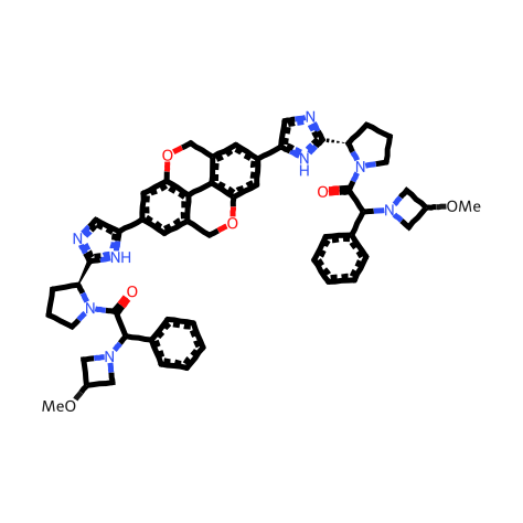 COC1CN(C(C(=O)N2CCC[C@H]2c2ncc(-c3cc4c5c(c3)OCc3cc(-c6cnc([C@@H]7CCCN7C(=O)C(c7ccccc7)N7CC(OC)C7)[nH]6)cc(c3-5)OC4)[nH]2)c2ccccc2)C1